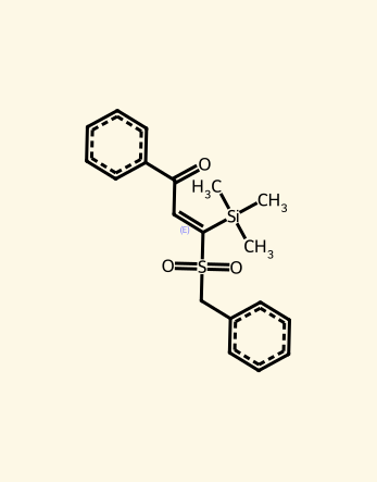 C[Si](C)(C)/C(=C\C(=O)c1ccccc1)S(=O)(=O)Cc1ccccc1